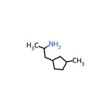 CC(N)CC1CCC(C)C1